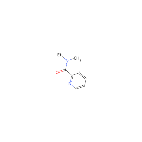 CCN(C)C(=O)c1[c]cccn1